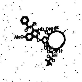 CC[C@@H]1C[C@H](C)CCC=C[C@@H]2C[C@@]2(C(=O)NS(=O)(=O)C2(C)CC2)NC(=O)[C@@H]2C[C@@H](Oc3ncc(N(CC)C(=O)c4ccccc4)c4cc(OC)ccc34)CN2C(=O)[C@H]1NC(=O)O